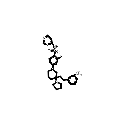 O=S(=O)(Nc1ccncn1)c1ccc(N2CCCC(CCc3cccc(C(F)(F)F)c3)(N3CCCC3)C2)cc1F